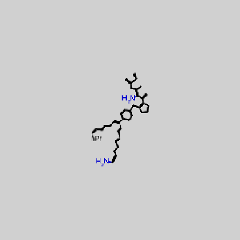 C=CC(=C)C/C(C)=C(\N)C(=C)C1=C(Cc2ccc(C(/C=C/C=C/CC/C=C\N)=C/CC=C/C=C\CCC)cc2)C=C=C1